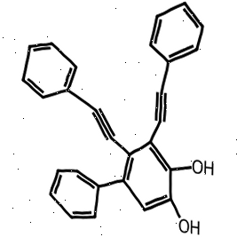 Oc1cc(-c2ccccc2)c(C#Cc2ccccc2)c(C#Cc2ccccc2)c1O